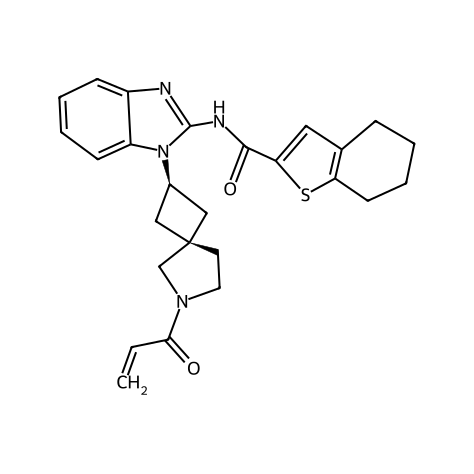 C=CC(=O)N1CC[C@]2(C1)C[C@H](n1c(NC(=O)c3cc4c(s3)CCCC4)nc3ccccc31)C2